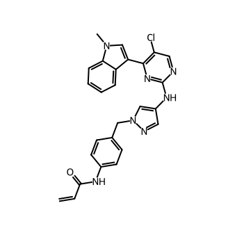 C=CC(=O)Nc1ccc(Cn2cc(Nc3ncc(Cl)c(-c4cn(C)c5ccccc45)n3)cn2)cc1